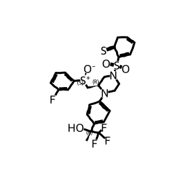 C[C@@](O)(c1ccc(N2CCN(S(=O)(=O)C3=CC=CCC3=S)C[C@@H]2C[S@@+]([O-])c2cccc(F)c2)cc1)C(F)(F)F